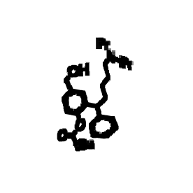 CC(C)N(CCCCC(c1ccccc1)c1cc(CO)ccc1OC(=O)C(C)(C)C)C(C)C